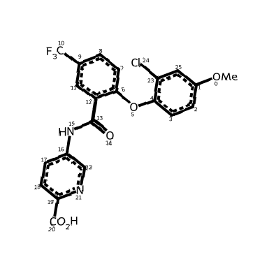 COc1ccc(Oc2ccc(C(F)(F)F)cc2C(=O)Nc2ccc(C(=O)O)nc2)c(Cl)c1